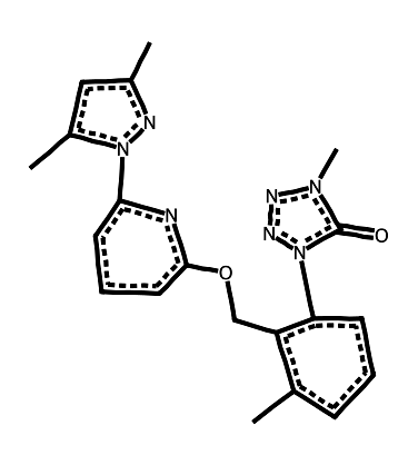 Cc1cc(C)n(-c2cccc(OCc3c(C)cccc3-n3nnn(C)c3=O)n2)n1